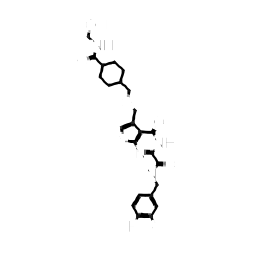 O=C(NCc1ccc(F)c(Cl)c1)c1nc2scc(COCC3CCC(C(=O)NCO)CC3)c2c(=O)[nH]1